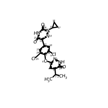 CC(C)c1cc(Oc2c(Cl)cc(-c3nn(C4CC4)c(=O)[nH]c3=O)cc2Cl)n[nH]c1=O